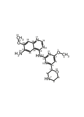 COc1cc(C2CNCCO2)nc(Nc2ncnc3cc(OC)c(N)cc23)n1